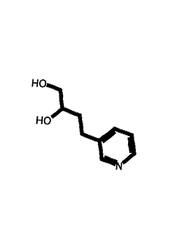 OCC(O)CCc1cccnc1